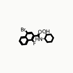 O=C(N[C@H]1CCCC[C@@H]1O)c1cc(Br)c2ccccc2c1F